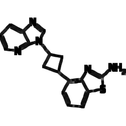 Nc1nc2c(C3CC(n4cnc5cccnc54)C3)cccc2s1